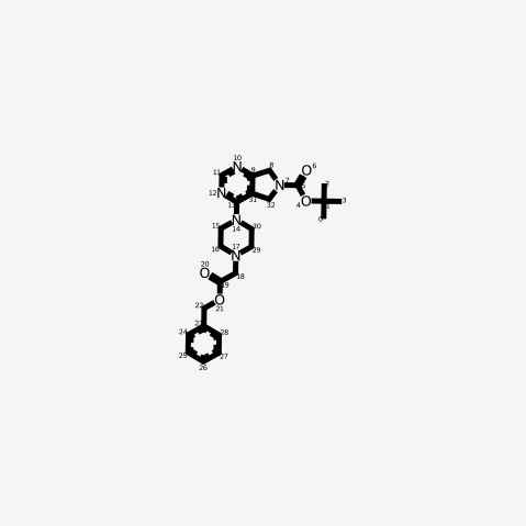 CC(C)(C)OC(=O)N1Cc2ncnc(N3CCN(CC(=O)OCc4ccccc4)CC3)c2C1